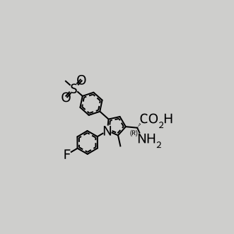 Cc1c([C@@H](N)C(=O)O)cc(-c2ccc(S(C)(=O)=O)cc2)n1-c1ccc(F)cc1